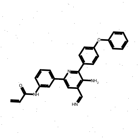 C=CC(=O)Nc1cccc(-c2cc(C=N)c(N)c(-c3ccc(Oc4ccccc4)cc3)n2)c1